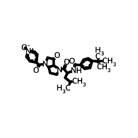 CC(C)CC(NC(=O)c1ccc(C(C)(C)C)cc1)C(=O)N1CCC2C1C(=O)CN2C(=O)c1cc[n+]([O-])cc1